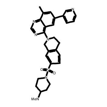 CNC1CCN(S(=O)(=O)c2ccc3c(c2)CN(c2ncnc4c(C)cc(-c5cccnc5)cc24)CC3)CC1